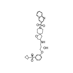 O=S(=O)(c1cccc(OC[C@@H](O)CN[C@H]2COC3(CCN(S(=O)(=O)c4cnc5ccccc5c4)CC3)C2)c1)C1CCC1